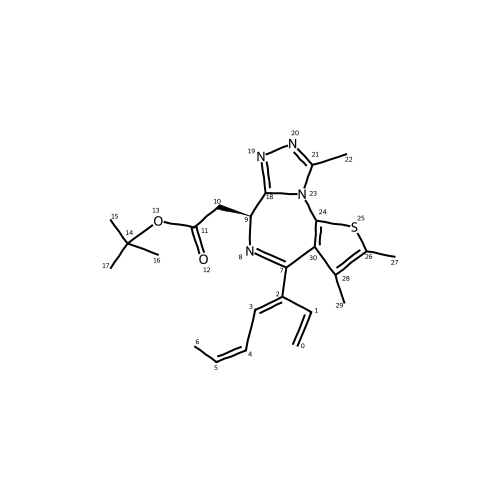 C=C/C(=C\C=C/C)C1=N[C@@H](CC(=O)OC(C)(C)C)c2nnc(C)n2-c2sc(C)c(C)c21